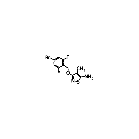 Cc1c(OCc2c(F)cc(Br)cc2F)nsc1N